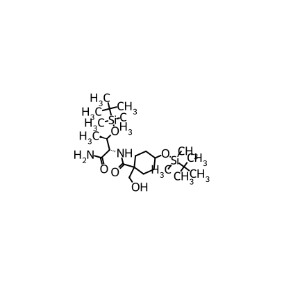 C[C@@H](O[Si](C)(C)C(C)(C)C)[C@H](NC(=O)C1(CO)CCC(O[Si](C)(C)C(C)(C)C)CC1)C(N)=O